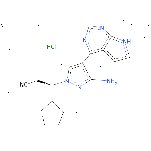 Cl.N#CC[C@H](C1CCCC1)n1cc(-c2ncnc3[nH]ccc23)c(N)n1